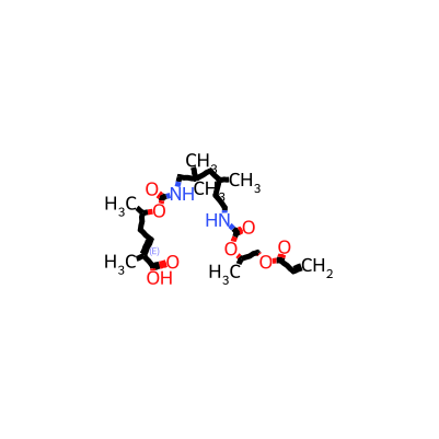 C=CC(=O)OCC(C)OC(=O)NCCC(C)CC(C)(C)CNC(=O)OC(C)C/C=C(\C)C(=O)O